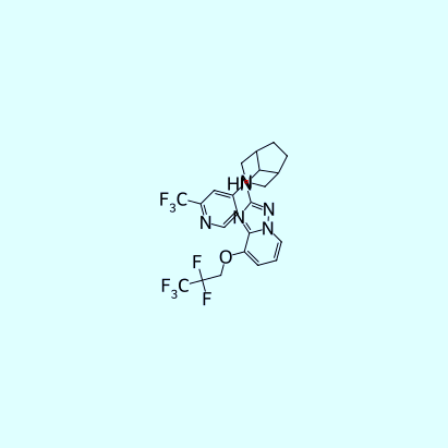 FC(F)(F)c1cc(N2CC3CCC(C2)C3Nc2nc3c(OCC(F)(F)C(F)(F)F)cccn3n2)ccn1